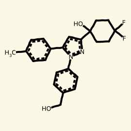 Cc1ccc(-c2cc(C3(O)CCC(F)(F)CC3)nn2-c2ccc(CO)cc2)cc1